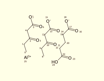 CCC(=O)CC(=O)[O-].CCC(=O)CC(=O)[O-].O=C([O-])CCCC(=O)O.[Al+3]